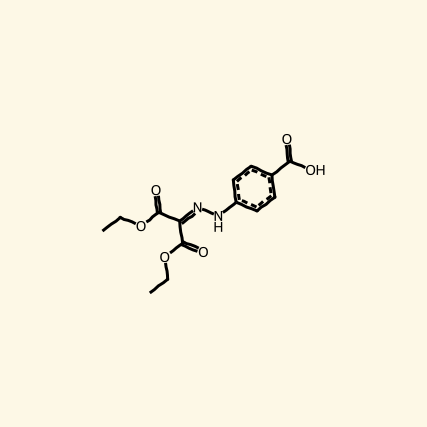 CCOC(=O)C(=NNc1ccc(C(=O)O)cc1)C(=O)OCC